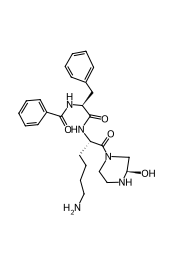 NCCCC[C@H](NC(=O)[C@H](Cc1ccccc1)NC(=O)c1ccccc1)C(=O)N1CCN[C@H](O)C1